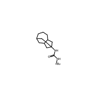 CCCCNC(=O)NC12CC3CCCC(C1)C(C3)C2